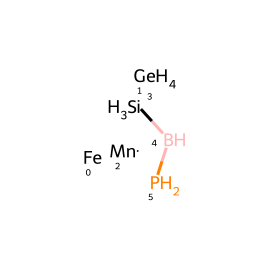 [Fe].[GeH4].[Mn].[SiH3]BP